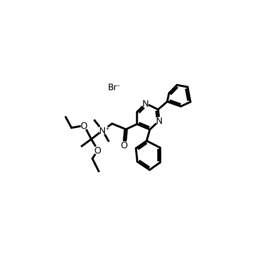 CCOC(C)(OCC)[N+](C)(C)CC(=O)c1cnc(-c2ccccc2)nc1-c1ccccc1.[Br-]